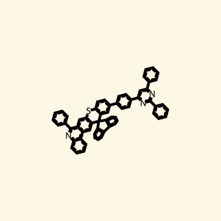 c1ccc(-c2cc(-c3ccc(-c4ccc5c(c4)C4(c6cc7c(cc6S5)c(-c5ccccc5)nc5ccccc57)c5ccccc5-c5ccccc54)cc3)nc(-c3ccccc3)n2)cc1